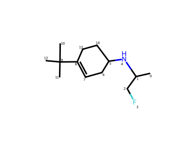 CC(CF)NC1CC=C(C(C)(C)C)CC1